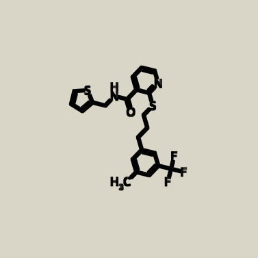 Cc1cc(CCCSc2ncccc2C(=O)NCc2cccs2)cc(C(F)(F)F)c1